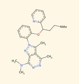 CNCCC(Oc1ccccc1-n1nc2c(N(C)C)nnc(C)c2c1C)c1ccccn1